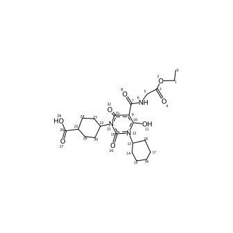 CCOC(=O)CNC(=O)c1c(O)n(C2CCCCC2)c(=O)n(C2CCC(C(=O)O)CC2)c1=O